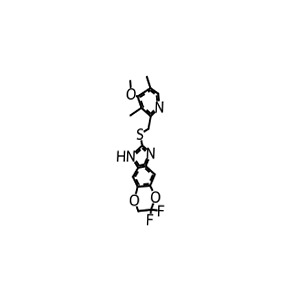 COc1c(C)cnc(CSc2nc3cc4c(cc3[nH]2)OCC(F)(F)O4)c1C